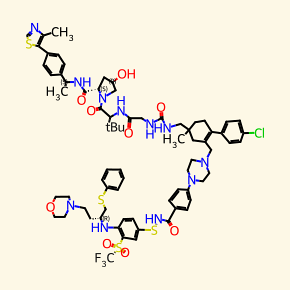 Cc1ncsc1-c1ccc([C@H](C)NC(=O)[C@@H]2C[C@@H](O)CN2C(=O)C(NC(=O)CNC(=O)NCC2(C)CCC(c3ccc(Cl)cc3)=C(CN3CCN(c4ccc(C(=O)NSc5ccc(N[C@H](CCN6CCOCC6)CSc6ccccc6)c(S(=O)(=O)C(F)(F)F)c5)cc4)CC3)C2)C(C)(C)C)cc1